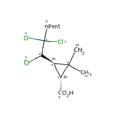 CCCCCC(Cl)(Cl)C(Cl)[C@@H]1[C@@H](C(=O)O)C1(C)C